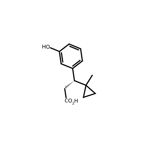 CC1([C@H](CC(=O)O)c2cccc(O)c2)CC1